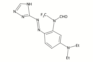 CCN(CC)c1ccc(N=Nc2nnc[nH]2)c(N(C=O)C(F)(F)F)c1